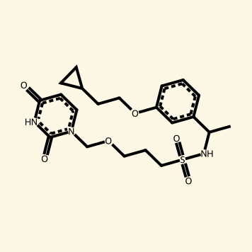 CC(NS(=O)(=O)CCCOCn1ccc(=O)[nH]c1=O)c1cccc(OCCC2CC2)c1